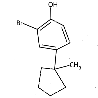 CC1(c2ccc(O)c(Br)c2)CCCC1